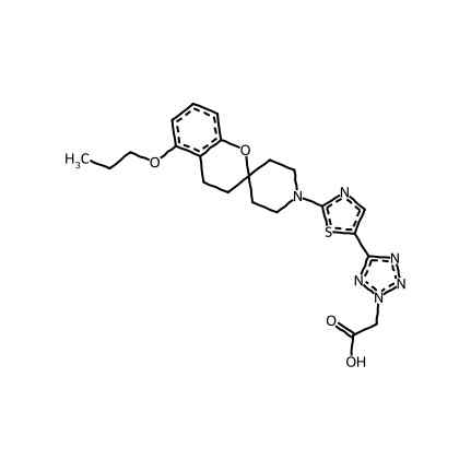 CCCOc1cccc2c1CCC1(CCN(c3ncc(-c4nnn(CC(=O)O)n4)s3)CC1)O2